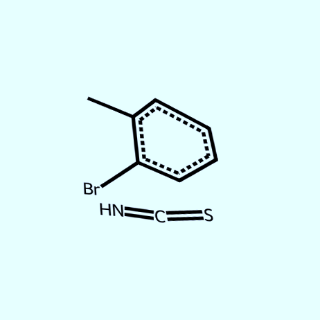 Cc1ccccc1Br.N=C=S